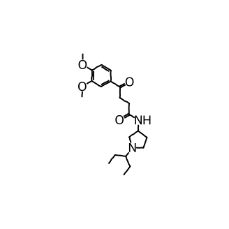 CCC(CC)N1CCC(NC(=O)CCC(=O)c2ccc(OC)c(OC)c2)C1